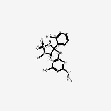 COc1cc(O)nc(NC2(c3ccccc3O)NS(=O)(=O)N(F)C2=O)n1